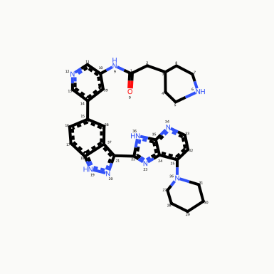 O=C(CC1CCNCC1)Nc1cncc(-c2ccc3[nH]nc(-c4nc5c(N6CCCCC6)ccnc5[nH]4)c3c2)c1